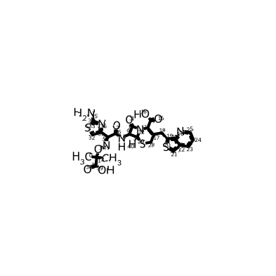 CC(C)(ON=C(C(=O)NC1C(=O)N2C(C(=O)O)=C(Cc3scc4cccnc34)CS[C@@H]12)c1csc(N)n1)C(=O)O